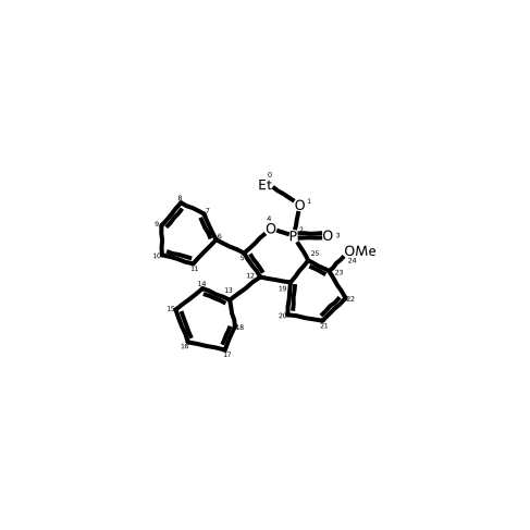 CCOP1(=O)OC(c2ccccc2)=C(c2ccccc2)c2cccc(OC)c21